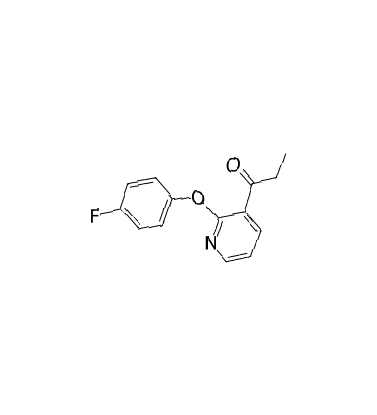 CCC(=O)c1cccnc1Oc1ccc(F)cc1